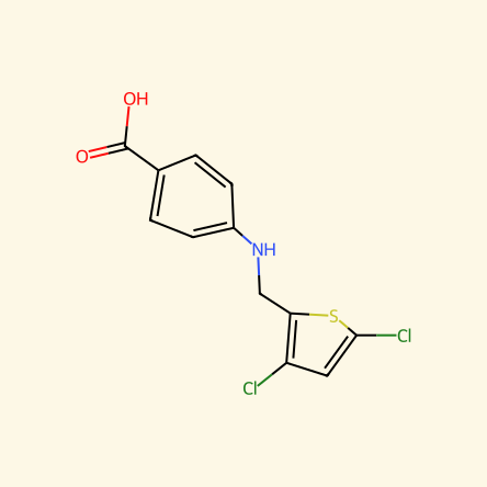 O=C(O)c1ccc(NCc2sc(Cl)cc2Cl)cc1